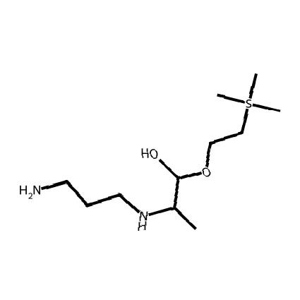 CC(NCCCN)C(O)OCCS(C)(C)C